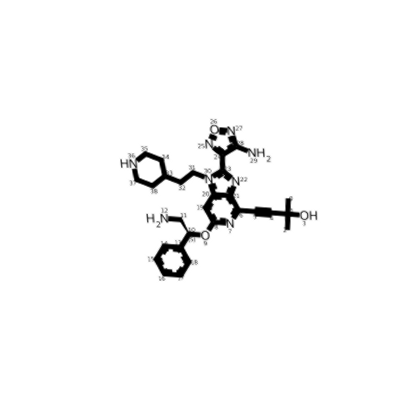 CC(C)(O)C#Cc1nc(O[C@H](CN)c2ccccc2)cc2c1nc(-c1nonc1N)n2CCC1CCNCC1